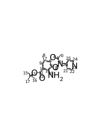 CC(=O)N(Oc1cc(C)cc(C(=O)OC(C)(C)C)c1N)c1ccncc1